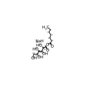 CCCCCCC(=O)OC(=O)[C@H](O)[C@@H](O)[C@H](O)[C@H](O)CO.[NaH]